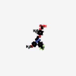 COc1ccc(-n2cc(COc3ccc(OCC(=O)O)c(C)c3)nc2-c2ccc(C(F)(F)F)cc2)cc1